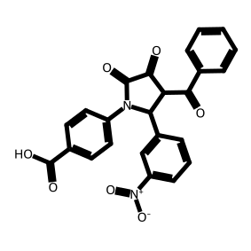 O=C(O)c1ccc(N2C(=O)C(=O)C(C(=O)c3ccccc3)C2c2cccc([N+](=O)[O-])c2)cc1